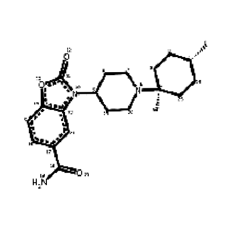 C[C@H]1CC[C@](C)(N2CCC(n3c(=O)oc4ccc(C(N)=O)cc43)CC2)CC1